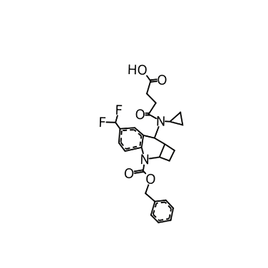 O=C(O)CCC(=O)N(C1CC1)C1c2cc(C(F)F)ccc2N(C(=O)OCc2ccccc2)C2CCC21